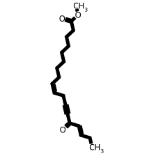 CC/C=C/C(=O)C#CC/C=C\CCCCCCCC(=O)OC